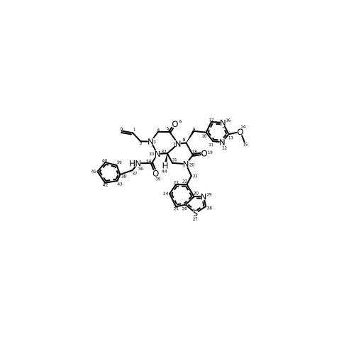 C=CCN1CC(=O)N2[C@@H](Cc3cnc(OC)nc3)C(=O)N(Cc3cccc4scnc34)C[C@@H]2N1C(=O)NCc1ccccc1